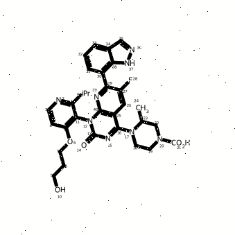 CC(C)c1nccc(OCCCO)c1-n1c(=O)nc(N2CCN(C(=O)O)CC2C)c2cc(F)c(-c3cccc4cn[nH]c34)nc21